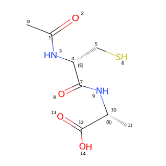 CC(=O)N[C@H](CS)C(=O)N[C@H](C)C(=O)O